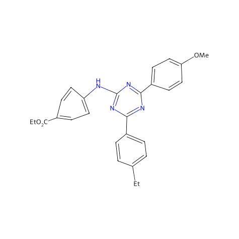 CCOC(=O)c1ccc(Nc2nc(-c3ccc(CC)cc3)nc(-c3ccc(OC)cc3)n2)cc1